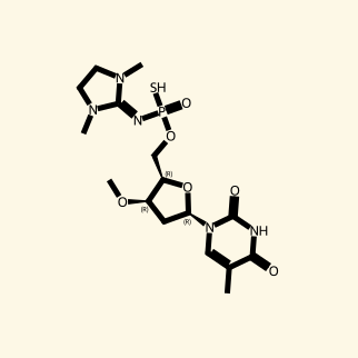 CO[C@@H]1C[C@H](n2cc(C)c(=O)[nH]c2=O)O[C@@H]1COP(=O)(S)N=C1N(C)CCN1C